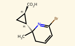 CC1([C@@H]2C[C@H]2C(=O)O)CC=CC(Br)=N1